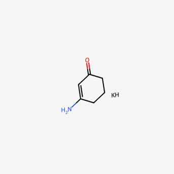 NC1=CC(=O)CCC1.[KH]